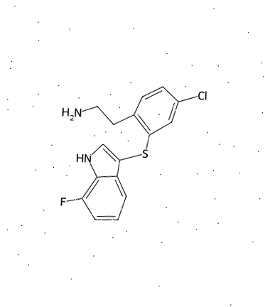 NCCc1ccc(Cl)cc1Sc1c[nH]c2c(F)cccc12